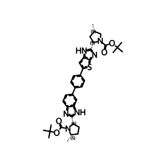 C[C@H]1C[C@@H](c2nc3sc(-c4ccc(-c5ccc6nc([C@@H]7CC[C@H](C)N7C(=O)OC(C)(C)C)[nH]c6c5)cc4)cc3[nH]2)N(C(=O)OC(C)(C)C)C1